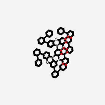 c1ccc(-c2ccccc2-c2ccc3c(c2)Oc2cc(-c4ccccc4-c4ccccc4)cc4c2B3c2cc3c(cc2N4c2ccccc2-c2ccccc2)N(c2ccccc2-c2ccccc2)c2cc(-c4ccccc4-c4ccccc4)cc4c2B3c2ccc(-c3ccccc3-c3ccccc3)cc2O4)cc1